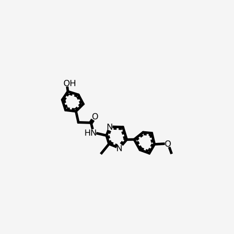 COc1ccc(-c2cnc(NC(=O)Cc3ccc(O)cc3)c(C)n2)cc1